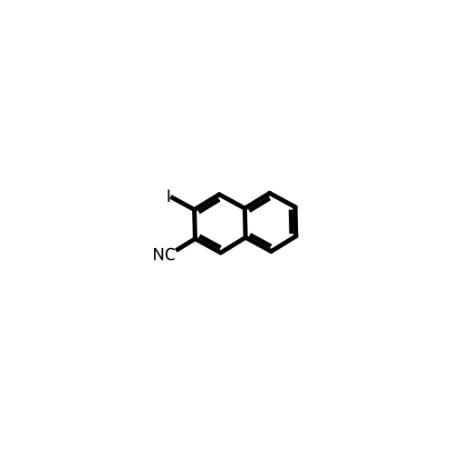 N#Cc1cc2ccccc2cc1I